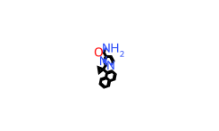 NC(=O)c1ccnc(C2(c3cccc4ccccc34)CC2)n1